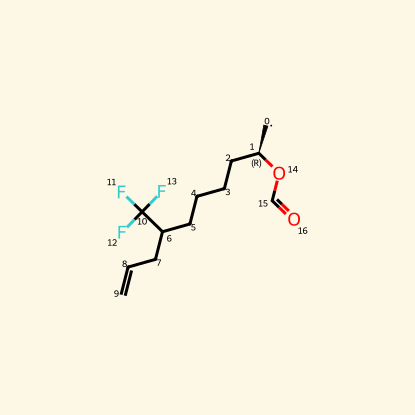 [CH2][C@H](CCCCC(CC=C)C(F)(F)F)OC=O